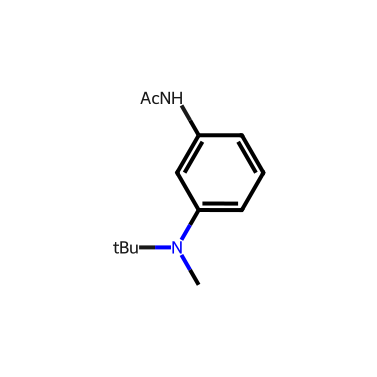 CC(=O)Nc1cccc(N(C)C(C)(C)C)c1